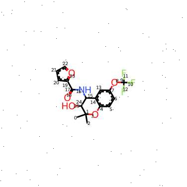 CC1(C)Oc2ccc(OC(F)(F)F)cc2C(NC(=O)c2ccco2)C1O